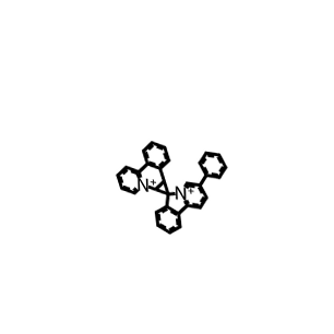 c1ccc(-c2ccc3[n+](c2)C2(c4ccccc4-3)C3c4ccccc4-c4cccc[n+]4C32)cc1